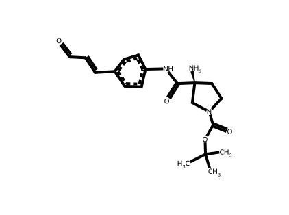 CC(C)(C)OC(=O)N1CC[C@@](N)(C(=O)Nc2ccc(/C=C/C=O)cc2)C1